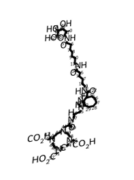 C[C@H]1C(NC(=O)CCCCCCNC(=O)CCCCCNC(=O)C2(F)CCCCCc3c2nnn3CCCNC(=O)CN2CCN(CC(=O)O)CCN(CC(=O)O)CCN(CC(=O)O)CC2)O[C@H](O)[C@@H](O)[C@@H]1O